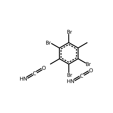 Cc1c(Br)c(Br)c(C)c(Br)c1Br.N=C=O.N=C=O